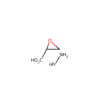 CCC[SiH3].O=C(O)C1CO1